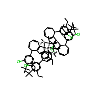 CCC1=CC2=C(C=CC=CC2c2cc(Cl)c(C(C)(C)C)c(CC)c2)[C]12[SiH](C)[C]1(C(CC)=CC3=C1C=CC=CC3c1cc(Cl)c(C(C)(C)C)c(CC)c1)[Hf]21([Cl])([Cl])[C]2(C(CC)=CC3=C2C=CC=CC3c2cc(Cl)c(C(C)(C)C)c(CC)c2)[SiH](C)[C]12C(CC)=CC1=C2C=CC=CC1c1cc(Cl)c(C(C)(C)C)c(CC)c1